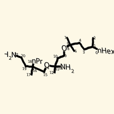 CCCCCCC(C)CCC(C)(C)OCCC(C)(N)OCC(C)(CCC)CCN